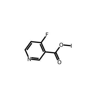 O=C(OI)c1cnccc1F